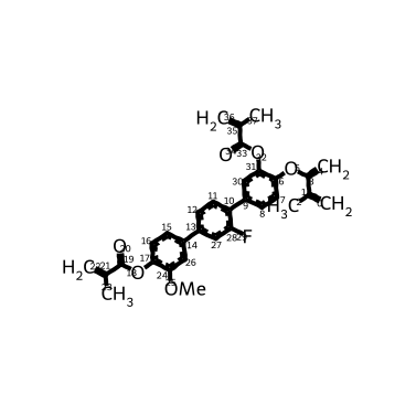 C=C(C)C(=C)Oc1ccc(-c2ccc(-c3ccc(OC(=O)C(=C)C)c(OC)c3)cc2F)cc1OC(=O)C(=C)C